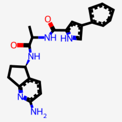 CC(NC(=O)c1cc(-c2ccccc2)c[nH]1)C(=O)N[C@@H]1CCc2nc(N)ccc21